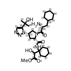 COC(=O)C(O)C1(NC(=O)[C@@H]2C[C@H](n3nncc3C(C)(C)O)CN2C(=O)[C@H](N)CC2CCCCC2)CCCCC1